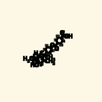 Cc1cc(O)c(C(C)(C)C)cc1C(C)(C)c1ccc(OC(=O)C2CCC(C(=O)O)CC2)cc1